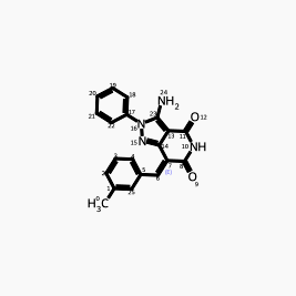 Cc1cccc(/C=C2/C(=O)NC(=O)c3c2nn(-c2ccccc2)c3N)c1